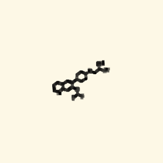 CC(C)C(O)COC1CCC(c2cc3cccnc3cc2OC(F)F)CC1